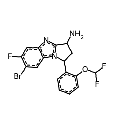 NC1CC(c2ccccc2OC(F)F)n2c1nc1cc(F)c(Br)cc12